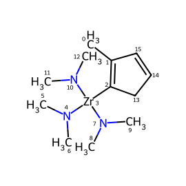 CC1=[C]([Zr]([N](C)C)([N](C)C)[N](C)C)CC=C1